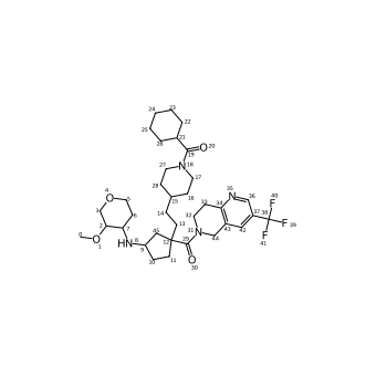 COC1COCCC1NC1CCC(CCC2CCN(C(=O)C3CCCCC3)CC2)(C(=O)N2CCc3ncc(C(F)(F)F)cc3C2)C1